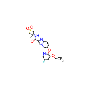 CC1(NC(=O)c2cn3cc(Oc4ncc(F)cc4OCC(F)(F)F)ccc3n2)CS(=O)(=O)C1